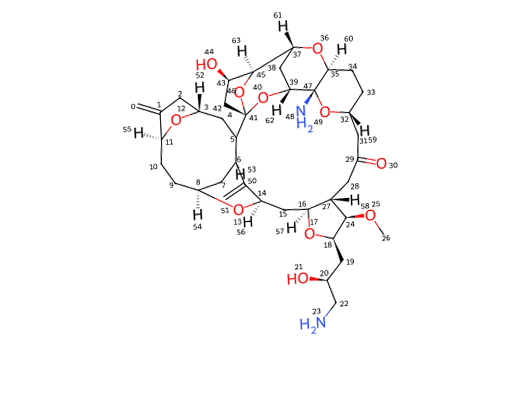 C=C1C[C@@H]2CC3[C@@H]4C[C@H](CC[C@@H]1O2)O[C@H](C[C@@H]1O[C@H](C[C@H](O)CN)[C@H](OC)[C@H]1CC(=O)C[C@H]1CC[C@@H]2O[C@@H]5C[C@@H](O[C@]36C[C@@H](O)[C@@H]5O6)[C@@]2(N)O1)C4=C